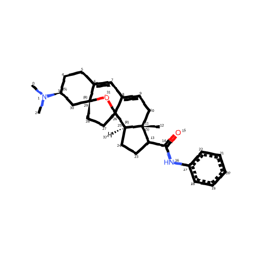 CN(C)[C@H]1CCC2=CC3=CC[C@]4(C)C(C(=O)Nc5ccccc5)CC[C@H]4C34CC[C@]2(C1)O4